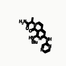 CC(C(N)=O)n1ccc2cc(Nc3cnccn3)nc(NC(C)(C)C)c2c1=O